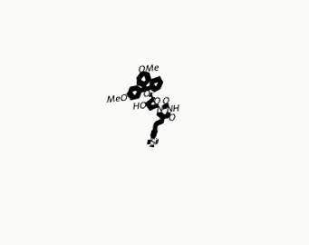 COc1ccc(C(OC[C@H]2O[C@@H](n3cc(C=CC#C[Si](C)(C)C)c(=O)[nH]c3=O)C[C@@H]2O)(c2ccccc2)c2ccc(OC)cc2)cc1